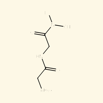 CCCCCCCC(=O)NCC(=O)N(C)CC